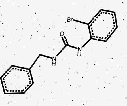 O=C(NCc1ccccc1)Nc1ccccc1Br